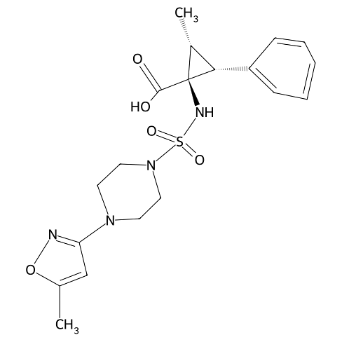 Cc1cc(N2CCN(S(=O)(=O)N[C@@]3(C(=O)O)[C@H](C)[C@@H]3c3ccccc3)CC2)no1